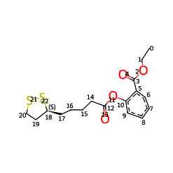 CCOC(=O)c1ccccc1OC(=O)CCCC[C@H]1CCSS1